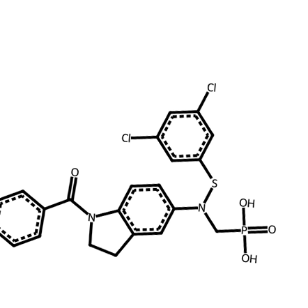 O=C(c1ccccc1)N1CCc2cc(N(CP(=O)(O)O)Sc3cc(Cl)cc(Cl)c3)ccc21